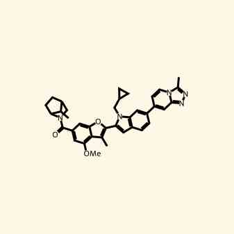 COc1cc(C(=O)N2CC3CCC2C3C)cc2oc(-c3cc4ccc(-c5ccn6c(C)nnc6c5)cc4n3CC3CC3)c(C)c12